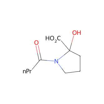 CCCC(=O)N1CCCC1(O)C(=O)O